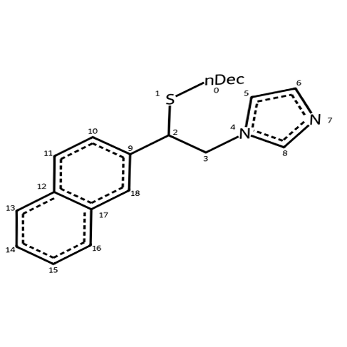 CCCCCCCCCCSC(Cn1ccnc1)c1ccc2ccccc2c1